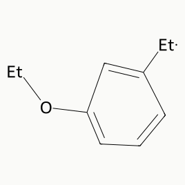 C[CH]c1cccc(OCC)c1